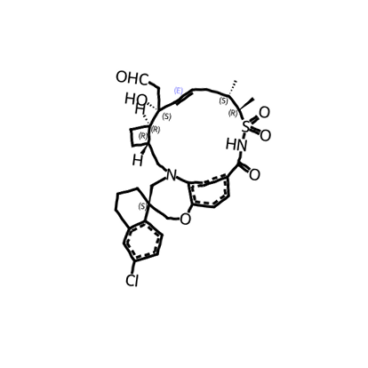 C[C@@H]1[C@@H](C)C/C=C/[C@](O)(CC=O)[C@@H]2CC[C@H]2CN2C[C@@]3(CCCc4cc(Cl)ccc43)COc3ccc(cc32)C(=O)NS1(=O)=O